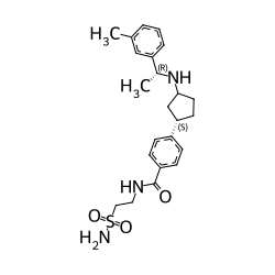 Cc1cccc([C@@H](C)NC2CC[C@H](c3ccc(C(=O)NCCS(N)(=O)=O)cc3)C2)c1